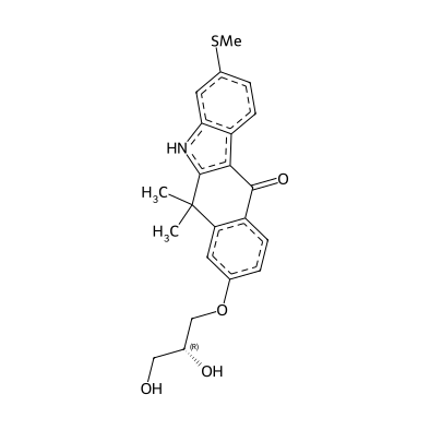 CSc1ccc2c3c([nH]c2c1)C(C)(C)c1cc(OC[C@H](O)CO)ccc1C3=O